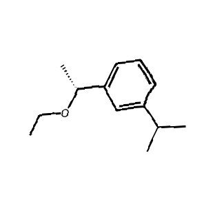 CCO[C@H](C)c1cccc(C(C)C)c1